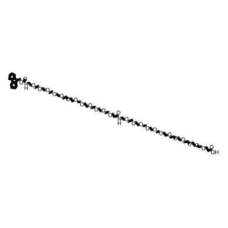 O=C(O)CCOCCOCCOCCOCCOCCOCCOCCOCCOCCOCCOCCOCCNC(=O)CCOCCOCCOCCOCCOCCOCCOCCOCCOCCOCCOCCOCCNC(=O)OCC1c2ccccc2-c2ccccc21